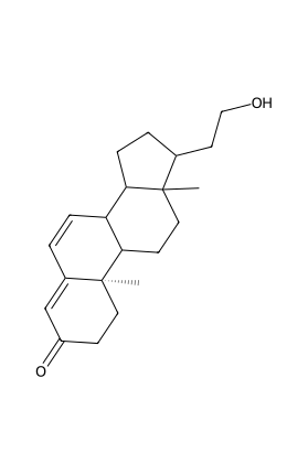 CC12CCC3C(C=CC4=CC(=O)CC[C@@]43C)C1CCC2CCO